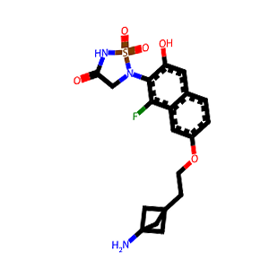 NC12CC(CCOc3ccc4cc(O)c(N5CC(=O)NS5(=O)=O)c(F)c4c3)(C1)C2